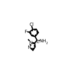 Cn1nccc1[C@H](N)c1ccc(Cl)c(F)c1